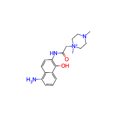 CN1CC[N+](C)(CC(=O)Nc2ccc3c(N)cccc3c2O)CC1